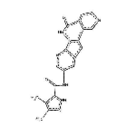 Cc1n[nH]c(C(=O)Nc2cnc3c(c2)cc2c4cnccc4c(=O)[nH]n23)c1C